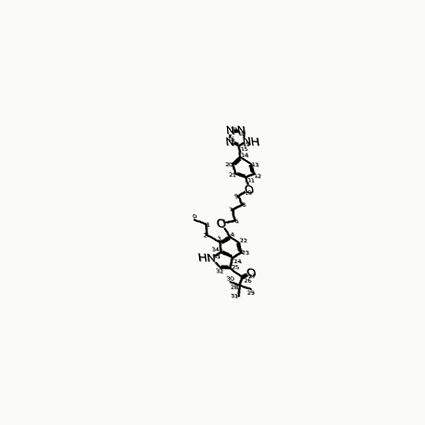 CCCc1c(OCCCCOc2ccc(-c3nnn[nH]3)cc2)ccc2c(C(=O)C(C)(C)C)c[nH]c12